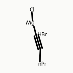 Br.CCCC#[C][Mg][Cl]